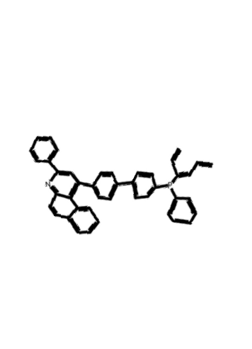 C=C/C=C(\C=C)P(c1ccccc1)c1ccc(-c2ccc(-c3cc(-c4ccccc4)nc4ccc5ccccc5c34)cc2)cc1